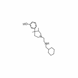 CC1CN(CCNCC2CCCCC2)CCC1(C)c1cccc(O)c1